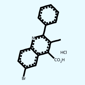 Cc1c(-c2ccccc2)nc2ccc(Br)cc2c1C(=O)O.Cl